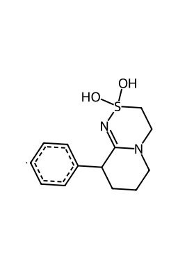 OS1(O)CCN2CCCC(c3cc[c]cc3)C2=N1